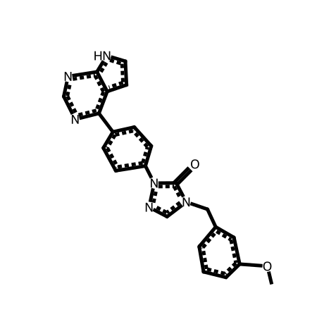 COc1cccc(Cn2cnn(-c3ccc(-c4ncnc5[nH]ccc45)cc3)c2=O)c1